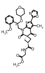 COC(=O)CNC(=O)[C@H]1C[C@@]2(C1)C(=O)c1c(sc(-c3ncco3)c1C)N(C[C@H](OC1CCOCC1)c1ccccc1OC)C2=O